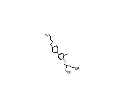 CCCCCc1ccc(-c2ccc(OCC(CC)CCCC)c(F)c2)cc1